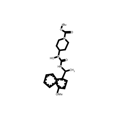 COc1ccc(C(C)NC(=O)N(O)C2CCN(C(=O)OC(C)(C)C)CC2)c2ccccc12